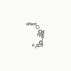 CCCCC[C@H]1CC[C@H](c2cc(F)c(C(F)(F)OCCc3ccc(OC(F)(F)F)c(F)c3)c(F)c2)CC1